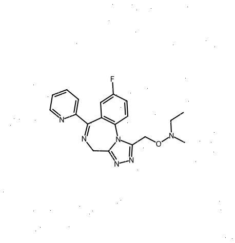 CCN(C)OCc1nnc2n1-c1ccc(F)cc1C(c1ccccn1)=NC2